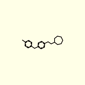 Cc1ccc(Cc2ccc(CCC3CCCCCC3)cc2)cc1